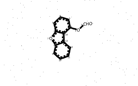 O=[C]Oc1cccc2oc3ccccc3c12